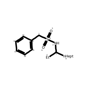 CCCCCCCC(CC)NS(=O)(=O)Cc1ccccc1